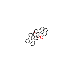 c1ccc2c(c1)-c1ccccc1C21c2cc(-c3cccc4c3C3(c5ccccc5-4)c4ccccc4-c4ccc5ccccc5c43)ccc2Oc2ccc3ccccc3c21